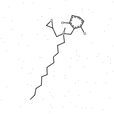 CCCCCCCCCCCC[N+](C)(Cc1c(Cl)cccc1Cl)CC1CO1